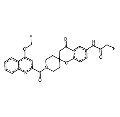 O=C(CF)Nc1ccc2c(c1)C(=O)CC1(CCN(C(=O)c3cc(OCF)c4ccccc4n3)CC1)O2